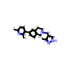 Cc1ccc(-c2ccc3c(c2)CCN(Cc2c[nH]nc2C)C3)c(C)n1